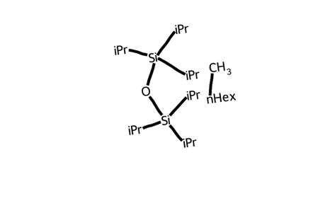 CC(C)[Si](O[Si](C(C)C)(C(C)C)C(C)C)(C(C)C)C(C)C.CCCCCCC